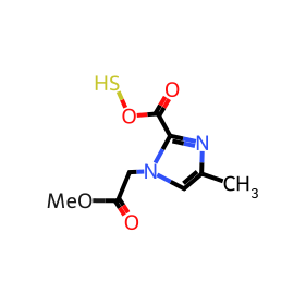 COC(=O)Cn1cc(C)nc1C(=O)OS